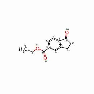 CCOC(=O)c1ccc2c(c1)CCC2=O